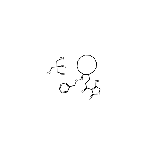 NC(CO)(CO)CO.O=C(CCC1CCCCCCCCCCC1=NOCc1ccccc1)C1=C(O)COC1=O